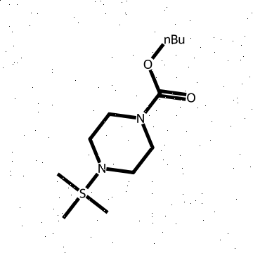 CCCCOC(=O)N1CCN(S(C)(C)C)CC1